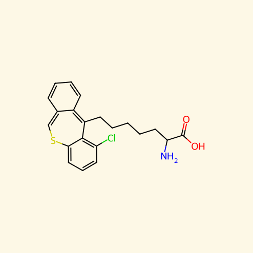 NC(CCCCCC1=c2ccccc2=CSc2cccc(Cl)c21)C(=O)O